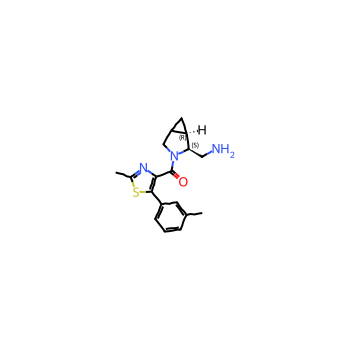 Cc1cccc(-c2sc(C)nc2C(=O)N2CC3C[C@H]3[C@H]2CN)c1